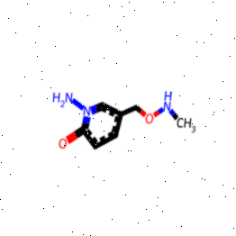 CNOCc1ccc(=O)n(N)c1